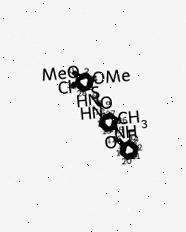 COc1cc(OC)c(SNC(=O)Nc2ccc(NC(=O)c3ccccc3F)c(C)c2)cc1Cl